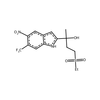 CCS(=O)(=O)CCC(C)(O)c1cc2cc([N+](=O)[O-])c(C(F)(F)F)cc2[nH]1